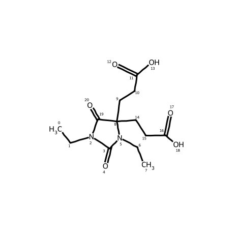 CCN1C(=O)N(CC)C(CCC(=O)O)(CCC(=O)O)C1=O